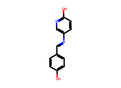 Oc1ccc(/C=N/c2ccc(O)nc2)cc1